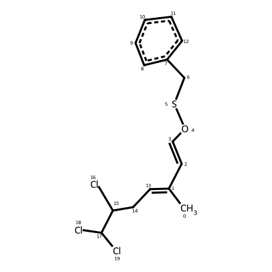 CC(C=COSCc1ccccc1)=CCC(Cl)C(Cl)Cl